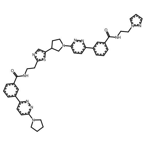 O=C(NCCc1ncc(C2CCN(c3ccc(-c4cccc(C(=O)NCCn5cccn5)c4)nn3)C2)s1)c1cccc(-c2ccc(N3CCCC3)nn2)c1